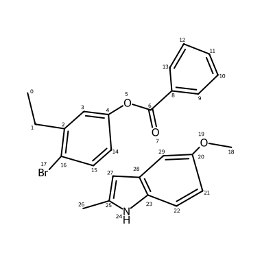 CCc1cc(OC(=O)c2ccccc2)ccc1Br.COc1ccc2[nH]c(C)cc2c1